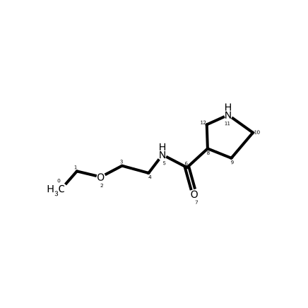 CCOCCNC(=O)C1CCNC1